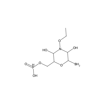 BC1OC(CO[PH](=O)O)C(O)N(OCC)C1O